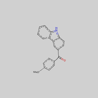 COc1ccc(C(=O)c2ccc3[nH]c4ccccc4c3c2)cc1